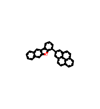 c1ccc2cc3c(cc2c1)oc1c(-c2cc4ccc5cccc6ccc(c2)c4c56)cccc13